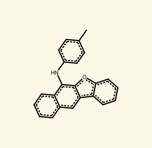 Cc1ccc(Nc2c3ccccc3cc3c2oc2ccccc23)cc1